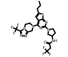 CCCc1cc2c(N3CCn4c(nnc4C(F)(F)F)C3)nc(N3CCC(NC(=O)CC(F)(F)F)C3)nc2s1